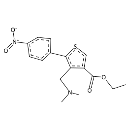 CCOC(=O)c1csc(-c2ccc([N+](=O)[O-])cc2)c1CN(C)C